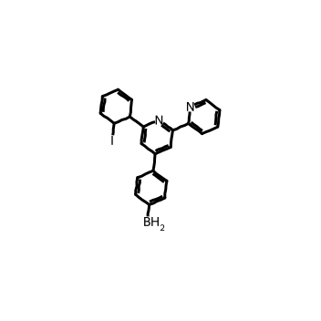 Bc1ccc(-c2cc(-c3ccccn3)nc(C3C=CC=CC3I)c2)cc1